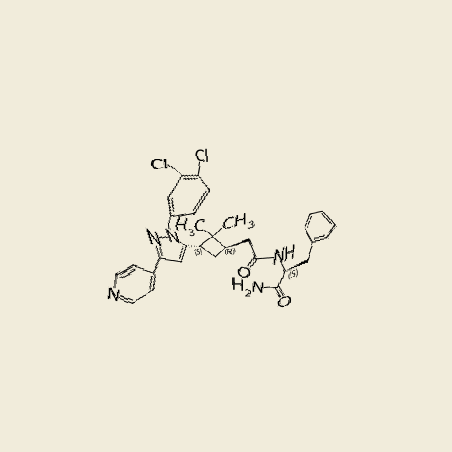 CC1(C)[C@@H](CC(=O)N[C@@H](Cc2ccccc2)C(N)=O)C[C@@H]1c1cc(-c2ccncc2)nn1-c1ccc(Cl)c(Cl)c1